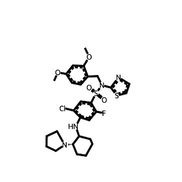 COc1ccc(CN(c2nccs2)S(=O)(=O)c2cc(Cl)c(NC3CCCC[C@@H]3N3CCCC3)cc2F)c(OC)c1